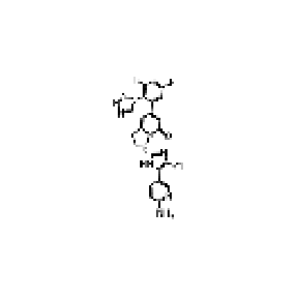 Nc1ccc(-c2[nH]c([C@@H]3CCc4cc(-c5cc(F)cc(F)c5-n5cnnn5)cc(=O)n43)nc2Cl)cn1